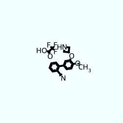 COc1ccc(-c2ccccc2C#N)cc1OC1CNC1.O=C(O)C(F)(F)F